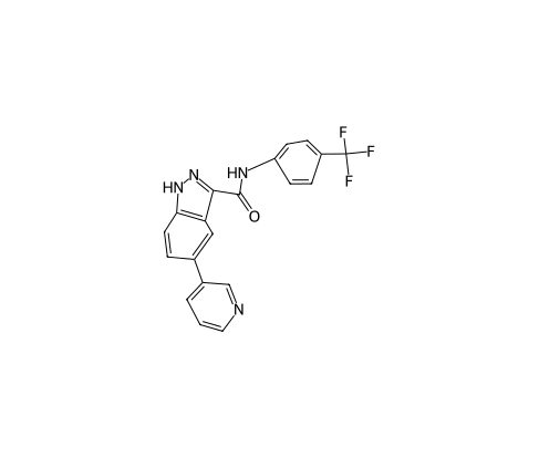 O=C(Nc1ccc(C(F)(F)F)cc1)c1n[nH]c2ccc(-c3cccnc3)cc12